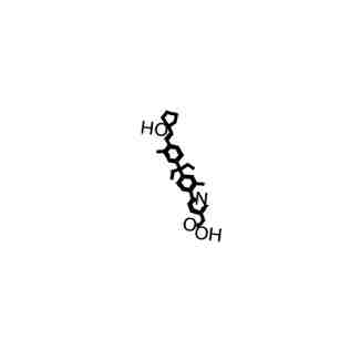 CCC(CC)(c1ccc(C=CC2(O)CCCC2)c(C)c1)c1ccc(-c2ccc(CC(=O)O)cn2)c(C)c1